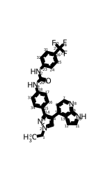 CCn1cc(-c2ccnc3[nH]ccc23)c(-c2ccc(NC(=O)Nc3ccc(C(F)(F)F)cc3)cc2)n1